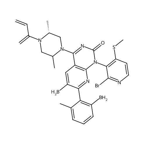 Bc1cc2c(N3C[C@@H](C)N(C(=C)C=C)CC3C)nc(=O)n(-c3c(SC)ccnc3Br)c2nc1-c1c(B)cccc1C